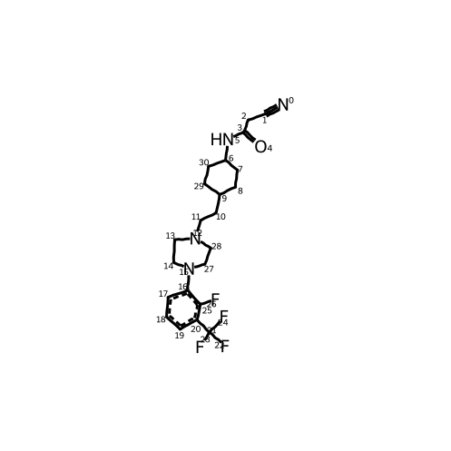 N#CCC(=O)NC1CCC(CCN2CCN(c3cccc(C(F)(F)F)c3F)CC2)CC1